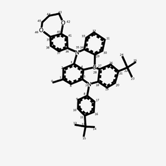 Cc1cc2c3c(c1)N(c1ccc(C(C)(C)C)cc1)c1ccc(C(C)(C)C)cc1B3c1ccccc1N2c1ccc2c(c1)OCCCO2